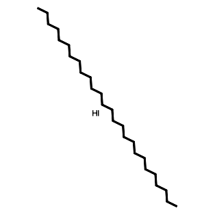 CCCCCCCCCCCCCCCCCCCCCCCCCC.I